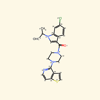 CC([C]=O)n1cc(C(=O)N2CCN(c3nccc4sccc34)CC2)c2ccc(Cl)cc21